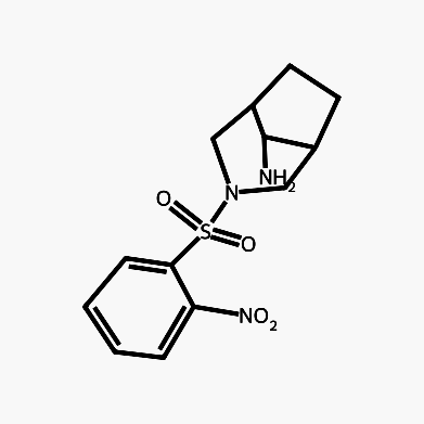 NC1C2CCC1CN(S(=O)(=O)c1ccccc1[N+](=O)[O-])C2